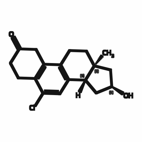 C[C@@]12CCc3c(cc(Cl)c4c3CC(=O)CC4)[C@H]1C[C@H](O)C2